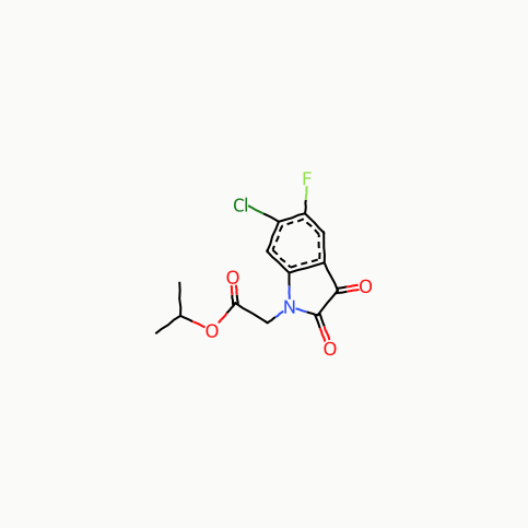 CC(C)OC(=O)CN1C(=O)C(=O)c2cc(F)c(Cl)cc21